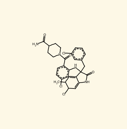 CC1C=C2C(=CC1Cl)NC(=O)C2(Cc1cccc(Cl)c1)Nc1cc(Cl)ccc1C(=O)N1CCC(C(N)=O)CC1